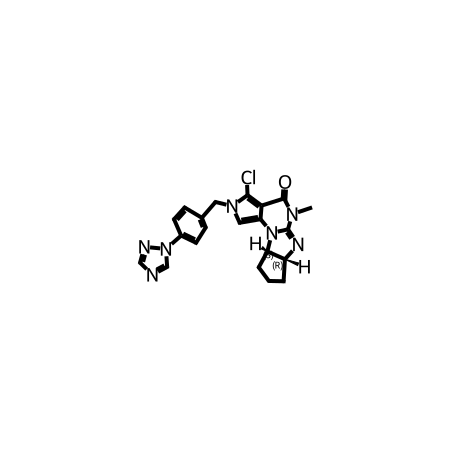 CN1C(=O)c2c(cn(Cc3ccc(-n4cncn4)cc3)c2Cl)N2C1=N[C@@H]1CCC[C@@H]12